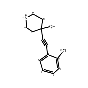 OC1(C#Cc2ccccc2Cl)CCNCC1